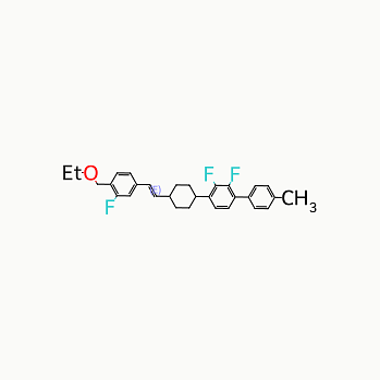 CCOCc1ccc(/C=C/C2CCC(c3ccc(-c4ccc(C)cc4)c(F)c3F)CC2)cc1F